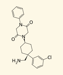 NC[C@]1(c2cccc(Cl)c2)CC[C@H](N2CC(=O)N(c3ccccc3)CC2=O)CC1